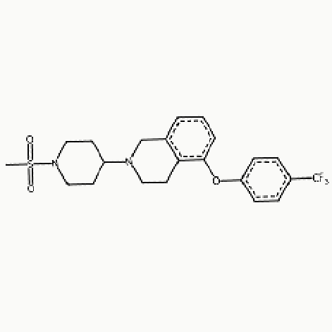 CS(=O)(=O)N1CCC(N2CCc3c(cccc3Oc3ccc(C(F)(F)F)cc3)C2)CC1